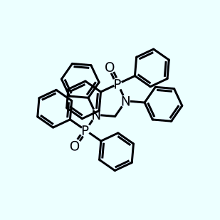 O=P(c1ccccc1)(c1ccccc1)N(CN(c1ccccc1)P(=O)(c1ccccc1)c1ccccc1)c1ccccc1